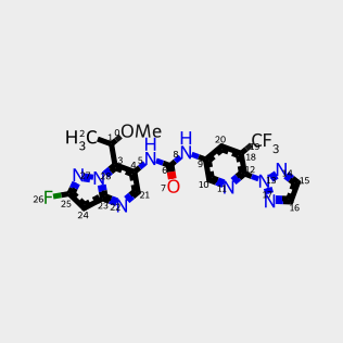 COC(C)c1c(NC(=O)Nc2cnc(-n3nccn3)c(C(F)(F)F)c2)cnc2cc(F)nn12